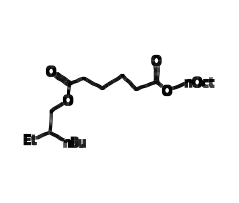 CCCCCCCCOC(=O)CCCCC(=O)OCC(CC)CCCC